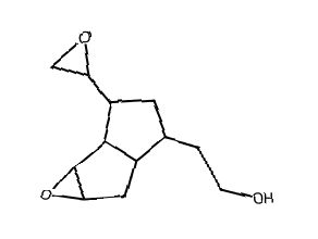 OCCC1CC(C2CO2)C2C1CC1OC12